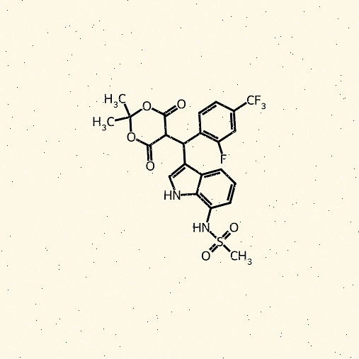 CC1(C)OC(=O)C(C(c2ccc(C(F)(F)F)cc2F)c2c[nH]c3c(NS(C)(=O)=O)cccc23)C(=O)O1